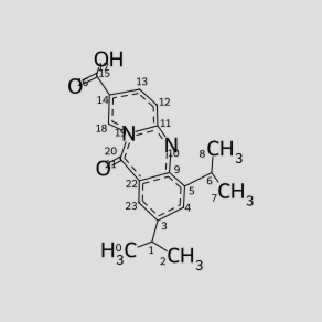 CC(C)c1cc(C(C)C)c2nc3ccc(C(=O)O)cn3c(=O)c2c1